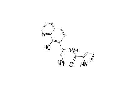 CC(C)CC(NC(=O)c1ccc[nH]1)c1ccc2cccnc2c1O